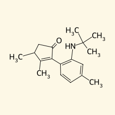 CC1=C(c2ccc(C)cc2NC(C)(C)C)C(=O)CC1C